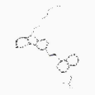 COCCOCCn1c2ccccc2c2cc(/C=C/c3cc[n+](CC(O)O)c4ccccc34)ccc21